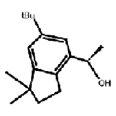 C[C@@H](O)c1cc(C(C)(C)C)cc2c1CCC2(C)C